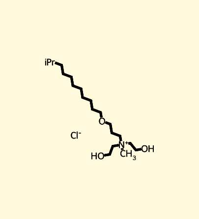 CC(C)CCCCCCCCCOCCC[N+](C)(CCO)CCO.[Cl-]